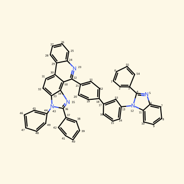 c1ccc(-c2nc3ccccc3n2-c2cccc(-c3ccc(-c4nc5ccccc5c5ccc6c(nc(-c7ccccc7)n6-c6ccccc6)c45)cc3)c2)cc1